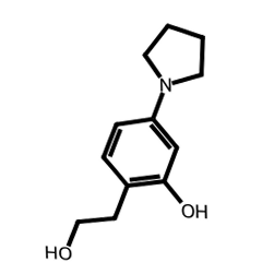 OCCc1ccc(N2CCCC2)cc1O